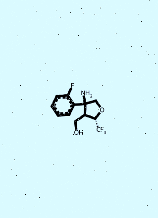 NC1(c2ccccc2F)CO[C@H](C(F)(F)F)C1CO